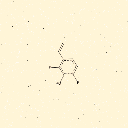 C=Cc1ccc(F)c(O)c1F